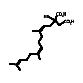 CC(C)=CCCC(C)=CCCC(C)=CCC(S)(CC(=O)O)C(=O)O